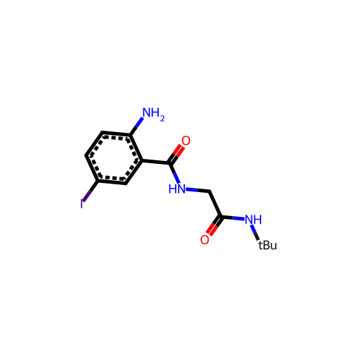 CC(C)(C)NC(=O)CNC(=O)c1cc(I)ccc1N